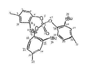 Cc1ccc(OP(=O)(Oc2ccc(C)cc2C(C)(C)C)Oc2ccc(C)cc2C(C)(C)C)c(C(C)(C)C)c1